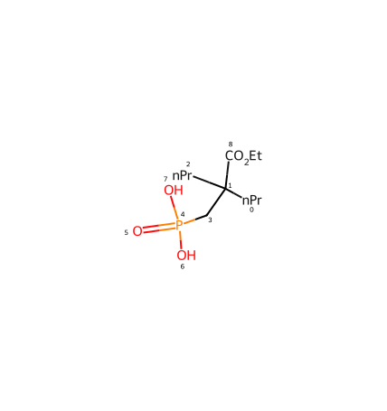 CCCC(CCC)(CP(=O)(O)O)C(=O)OCC